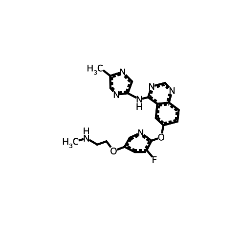 CNCCOc1cnc(Oc2ccc3ncnc(Nc4cnc(C)cn4)c3c2)c(F)c1